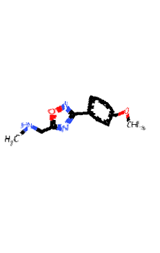 CNCc1nc(-c2ccc(OC)cc2)no1